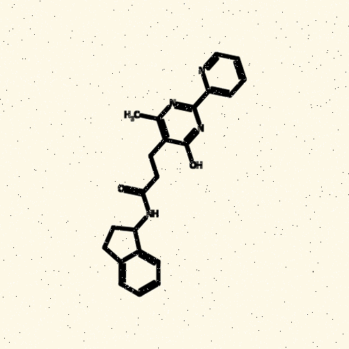 Cc1nc(-c2ccccn2)nc(O)c1CCC(=O)NC1CCc2ccccc21